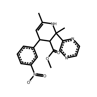 COC(=O)C1C(c2cccc([N+](=O)[O-])c2)C=C(C)NC1(C)c1cnccn1